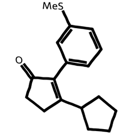 CSc1cccc(C2=C(C3CCCC3)CCC2=O)c1